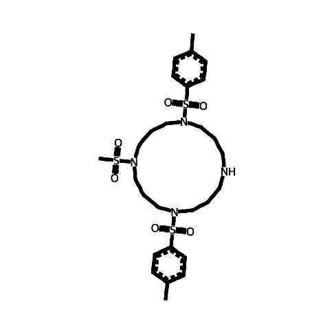 Cc1ccc(S(=O)(=O)N2CCCNCCCN(S(=O)(=O)c3ccc(C)cc3)CCCN(S(C)(=O)=O)CCC2)cc1